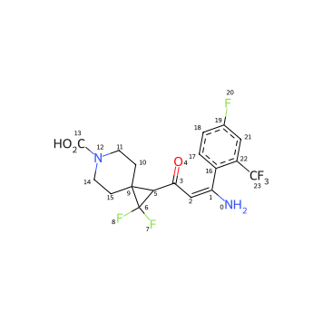 N/C(=C/C(=O)C1C(F)(F)C12CCN(C(=O)O)CC2)c1ccc(F)cc1C(F)(F)F